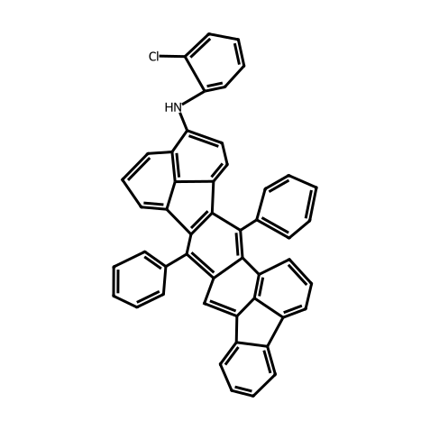 Clc1ccccc1Nc1ccc2c3c(-c4ccccc4)c4c(cc5c6ccccc6c6cccc4c65)c(-c4ccccc4)c3c3cccc1c32